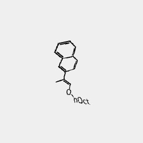 CCCCCCCCOC=C(C)c1ccc2ccccc2c1